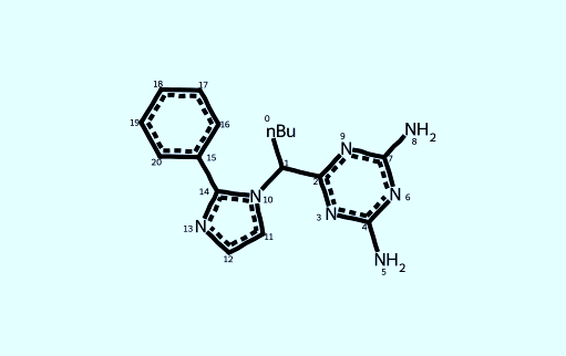 CCCCC(c1nc(N)nc(N)n1)n1ccnc1-c1ccccc1